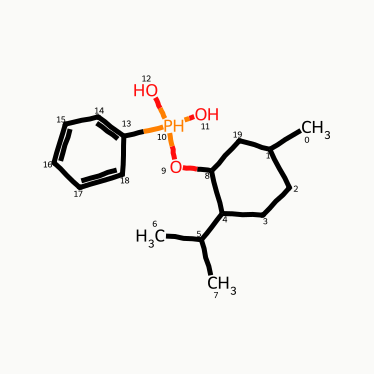 CC1CCC(C(C)C)C(O[PH](O)(O)c2ccccc2)C1